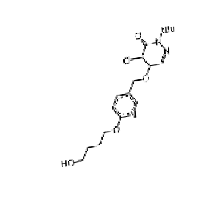 CC(C)(C)N1N=CC(OCc2ccc(OCCCCO)nc2)C(Cl)C1=O